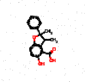 CC1c2c(ccc(O)c2C(=O)O)OC1(C)c1ccccc1